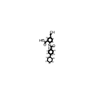 C#Cc1ccc(NC(=O)c2ccc(C3CCCCC3)cc2)c(C(=O)O)c1